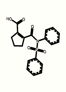 O=C(O)C1=C(C(=O)N(c2ccccc2)S(=O)(=O)c2ccccc2)CCC1